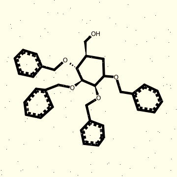 OC[C@H]1CC(OCc2ccccc2)[C@@H](OCc2ccccc2)[C@@H](OCc2ccccc2)[C@@H]1OCc1ccccc1